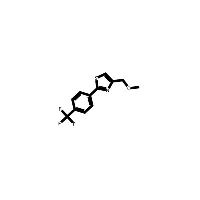 [CH2]OCc1csc(-c2ccc(C(F)(F)F)cc2)n1